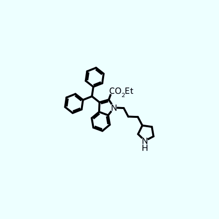 CCOC(=O)c1c(C(c2ccccc2)c2ccccc2)c2ccccc2n1CCCC1CCNC1